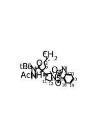 C=CCCC(NC(C)=O)(C(=O)NC(C)(C)C)[C@@H]1CCN(S(=O)(=O)c2ccccc2[N+](=O)[O-])C1